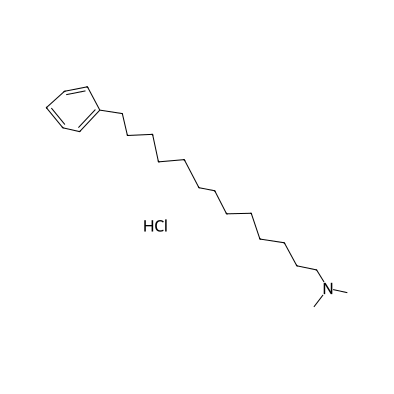 CN(C)CCCCCCCCCCCCCc1ccccc1.Cl